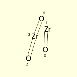 [O]=[Zr].[O]=[Zr]=[O]